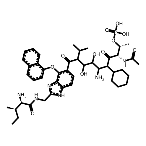 CC[C@@H](C)[C@@H](N)C(=O)NCc1nc2c(Oc3cccc4ccccc34)c(C(=O)C(C(C)C)C(O)C(O)C(N)C(C(=O)[C@@H](NC(C)=O)[C@@H](C)OP(=O)(O)O)C3CCCCC3)ccc2[nH]1